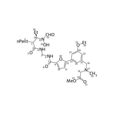 CCCCCC(C(=O)NCNC(=O)c1ccc(-c2cc(CN(C)CC(=O)OC)cc(OCC)c2)o1)[C@@H](CC)N(O)C=O